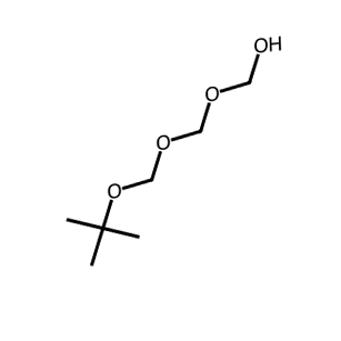 CC(C)(C)OCOCOCO